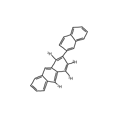 [2H]c1c(-c2ccc3ccccc3c2)c([2H])c2cc3ccccc3c([2H])c2c1[2H]